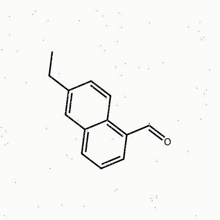 CCc1ccc2c([C]=O)cccc2c1